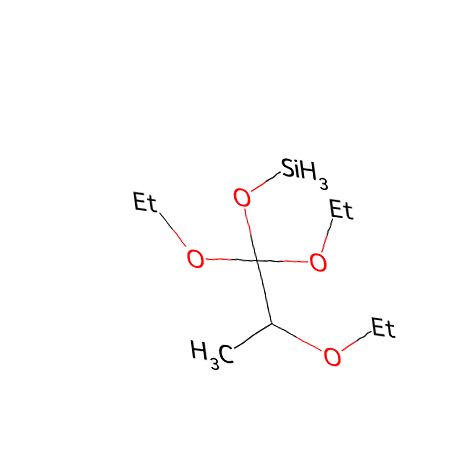 CCOC(C)C(O[SiH3])(OCC)OCC